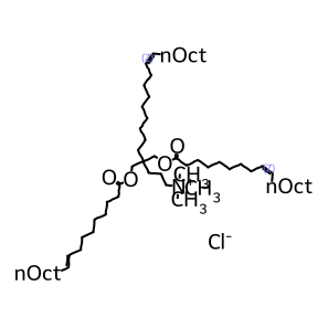 CCCCCCCCC=CCCCCCCCC(=O)OCC(CCCCCCCC/C=C\CCCCCCCC)(CCC[N+](C)(C)C)COC(=O)CCCCCCC/C=C\CCCCCCCC.[Cl-]